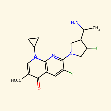 CC(N)C1CN(c2nc3c(cc2F)c(=O)c(C(=O)O)cn3C2CC2)CC1F